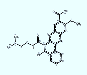 COc1cc2nc3c(nc2cc1C(=O)O)c(C(=O)NCCN(C)C)c(O)c1ccccc13